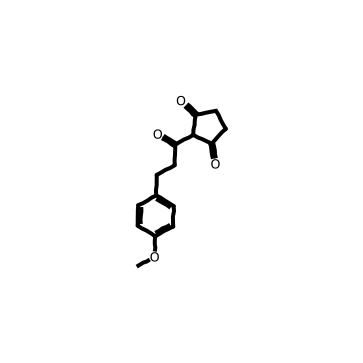 COc1ccc(CCC(=O)C2C(=O)CCC2=O)cc1